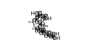 CC(C)(C)OO.CC(C)OC(=O)OOC(=O)OC(C)C.O=S(=O)(O)OOS(=O)(=O)O.O=S(=O)(O)OOS(=O)(=O)O.O=S(O)O